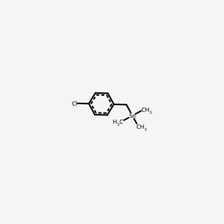 [CH3][Sn]([CH3])([CH3])[CH2]c1ccc(Cl)cc1